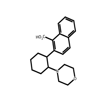 O=C(O)c1c(C2CCCCC2N2CCOCC2)ccc2ccccc12